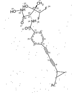 CC(=O)C1CC1C#CC#Cc1ccc(C(=O)N[C@H](C(=O)NO)[C@](C)(O)C(F)F)cc1